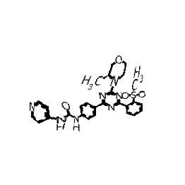 C[C@H]1COCCN1c1nc(-c2ccc(NC(=O)Nc3ccncc3)cc2)nc(-c2ccccc2S(C)(=O)=O)n1